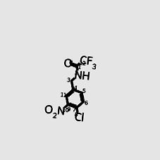 O=C(NCc1ccc(Cl)c([N+](=O)[O-])c1)C(F)(F)F